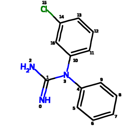 N=C(N)N(c1ccccc1)c1cccc(Cl)c1